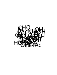 CC(=O)NC1C(O)[C@H](O)C(CO)O[C@@H]1O[C@@H]1C(C(=O)O)O[C@@H](O[C@@H]2C(CO)O[C@H](O[C@@H]3C(C(=O)O)O[C@@H](OCCNC(=O)c4ccc(C=O)cc4)C(O)C3O)C(NC(C)=O)C2O)C(O)C1O